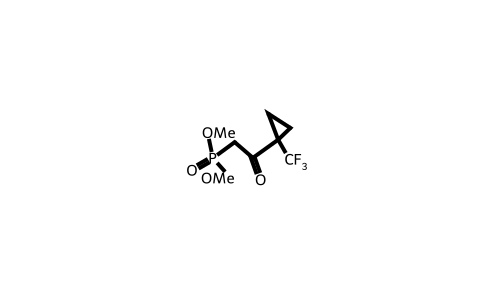 COP(=O)(CC(=O)C1(C(F)(F)F)CC1)OC